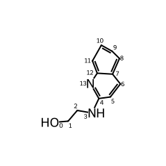 OCCNc1ccc2ccccc2n1